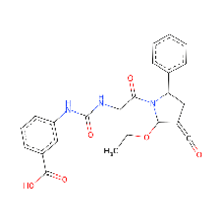 CCOC1C(=C=O)CC(c2ccccc2)N1C(=O)CNC(=O)Nc1cccc(C(=O)O)c1